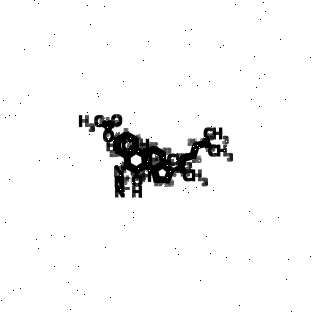 CC(=O)O[C@H]1CC[C@@]2(C)C(C1)[C@H](N=[N+]=[N-])[C@@H](O)[C@H]1[C@@H]3CC[C@H](C(C)CCCC(C)C)[C@@]3(C)CC[C@@H]12